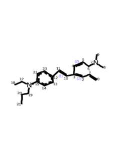 C=C/C=C(\C=C/CN(C)C)/C=C/c1ccc(N(CC)CCC)cc1